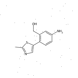 Cc1ncc(-c2ccc(N)cc2CO)s1